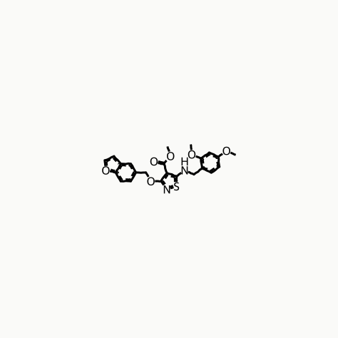 COC(=O)c1c(OCc2ccc3occc3c2)nsc1NCc1ccc(OC)cc1OC